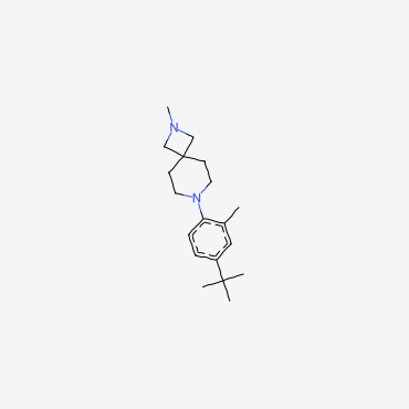 Cc1cc(C(C)(C)C)ccc1N1CCC2(CC1)CN(C)C2